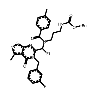 CCC(c1nc2snc(C)c2c(=O)n1Cc1cccc(F)c1)N(CCCNC(=O)OC(C)(C)C)C(=O)c1ccc(C)cc1